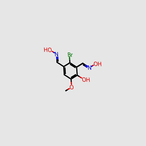 COc1cc(C=NO)c(Br)c(C=NO)c1O